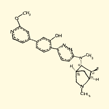 COc1cc(-c2ccc(-c3ccc(N(C)[C@H]4[C@H]5C[C@@H]([C@@H]4F)N(C)C5)nn3)c(O)c2)ccn1